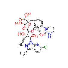 C#C[C@@](O)([C@@H](COC(Cc1ccc(N2CCCNC2=O)cc1)(C(=O)O)C(=O)O)OC)[C@@H](O)n1nc(C)c2ccc(Cl)nc21